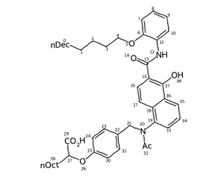 CCCCCCCCCCCCCCOc1ccccc1NC(=O)c1ccc2c(N(Cc3ccc(OC(CCCCCCCC)C(=O)O)cc3)C(C)=O)cccc2c1O